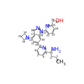 CCCC(N)c1cccc(-c2cc(N3CCC3)c3cnn(-c4cccc(CO)n4)c3c2)n1